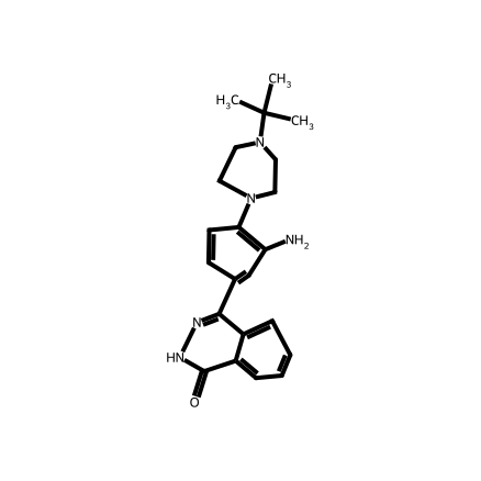 CC(C)(C)N1CCN(c2ccc(-c3n[nH]c(=O)c4ccccc34)cc2N)CC1